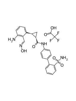 Nc1cccc([C@H]2C[C@H]2C(=O)Nc2ccc(-c3ccccc3S(N)(=O)=O)cc2)c1C=NO.O=C(O)C(F)(F)F